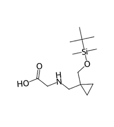 CC(C)(C)[Si](C)(C)OCC1(CNCC(=O)O)CC1